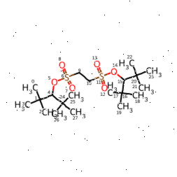 CC(C)(C)C(OS(=O)(=O)CCS(=O)(=O)OC(C(C)(C)C)C(C)(C)C)C(C)(C)C